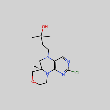 CC(C)(O)CCN1C[C@@H]2COCCN2c2nc(Cl)ncc21